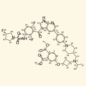 COC(=O)c1ccc(OC2CC(N(CC3CCN(c4ccc(-c5cnc6[nH]cc(C(=O)c7c(F)ccc(NS(=O)(=O)N8CC[C@@H](F)C8)c7F)c6c5)cc4)CC3)C(C)C)C2)cc1C(=O)OC